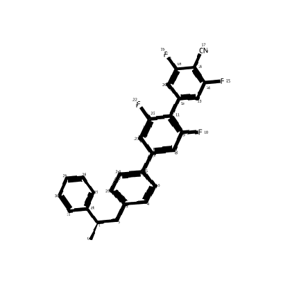 C[C@H](Cc1ccc(-c2cc(F)c(-c3cc(F)c(C#N)c(F)c3)c(F)c2)cc1)c1ccccc1